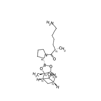 C[C@@H](CCCCN)C(=O)N1CCC[C@H]1B1OC2C[C@@H]3C[C@@H](C3(C)C)[C@]2(C)O1